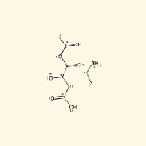 CCN.CS(=O)OC(=O)C(O)CC(=O)O